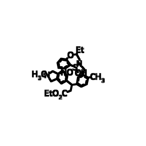 CCOC(=O)CC(c1ccc(C)c(CN2CC(CC)Oc3ccccc3S2(O)O)c1)c1ccc2c(c1)CN(C)C2